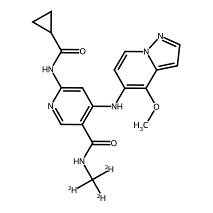 [2H]C([2H])([2H])NC(=O)c1cnc(NC(=O)C2CC2)cc1Nc1ccn2nccc2c1OC